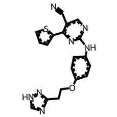 N#Cc1cnc(Nc2ccc(OCCc3nc[nH]n3)cc2)nc1-c1cccs1